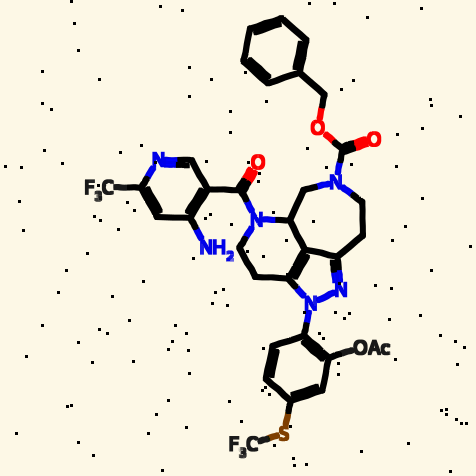 CC(=O)Oc1cc(SC(F)(F)F)ccc1-n1nc2c3c1CCN(C(=O)c1cnc(C(F)(F)F)cc1N)C3CN(C(=O)OCc1ccccc1)CC2